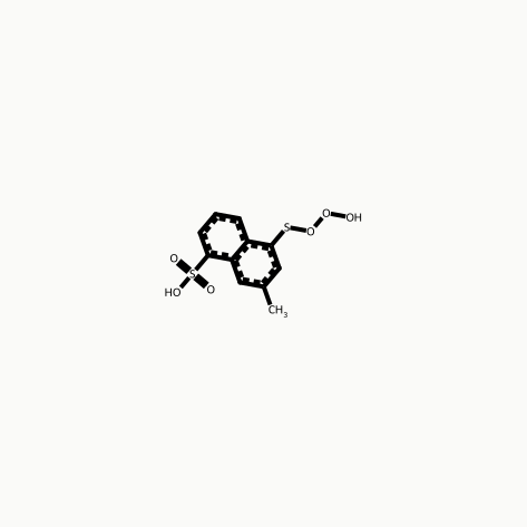 Cc1cc(SOOO)c2cccc(S(=O)(=O)O)c2c1